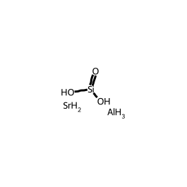 O=[Si](O)O.[AlH3].[SrH2]